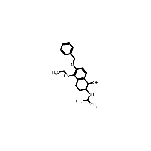 CCNc1c(OCc2ccccc2)ccc2c1CCC(NC(C)C)C2O